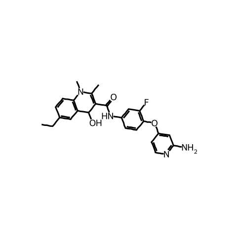 CCc1ccc2c(c1)C(O)C(C(=O)Nc1ccc(Oc3ccnc(N)c3)c(F)c1)=C(C)N2C